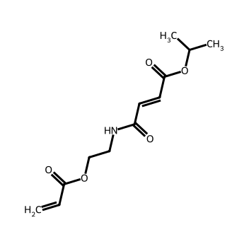 C=CC(=O)OCCNC(=O)/C=C/C(=O)OC(C)C